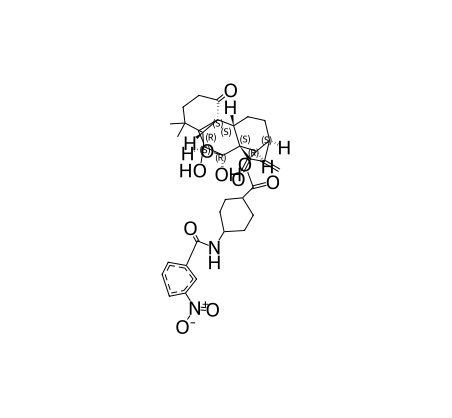 C=C1C(=O)[C@]23[C@H](OC(=O)C4CCC(NC(=O)c5cccc([N+](=O)[O-])c5)CC4)[C@H]1CC[C@H]2[C@@]12CO[C@@]3(O)[C@@H](O)[C@@H]1C(C)(C)CCC2=O